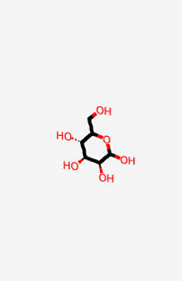 OCC1OC(O)[C@@H](O)[C@@H](O)[C@@H]1O